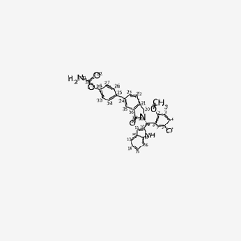 COc1ccc(Cl)cc1[C@H](c1cc2ccccc2[nH]1)N1Cc2ccc(-c3ccc(OC(N)=O)cc3)cc2C1=O